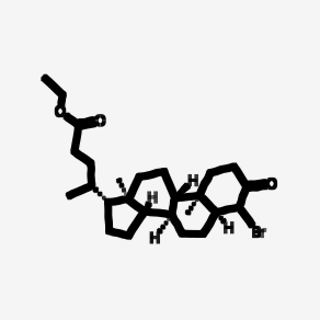 CCOC(=O)CCC(C)[C@H]1CC[C@H]2[C@@H]3CC[C@@H]4C(Br)C(=O)CC[C@]4(C)[C@H]3CC[C@]12C